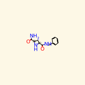 NC(=O)[C@H]1C[C@@H](C(=O)NCc2ccccc2)N1